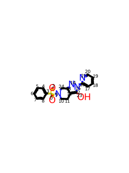 O=S(=O)(c1ccccc1)N1CCc2c(nn(-c3ccccn3)c2O)C1